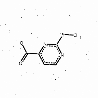 CSc1nccc(C(=O)O)n1